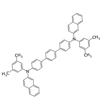 Cc1cc(C)cc(N(c2ccc(-c3ccc(-c4ccc(N(c5cc(C)cc(C)c5)c5ccc6ccccc6c5)cc4)cc3)cc2)c2ccc3ccccc3c2)c1